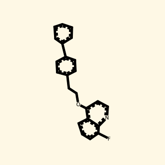 Fc1cccc2c(OCCc3ccc(-c4ccccc4)cc3)ccnc12